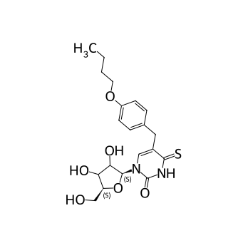 CCCCOc1ccc(Cc2cn([C@H]3O[C@@H](CO)C(O)C3O)c(=O)[nH]c2=S)cc1